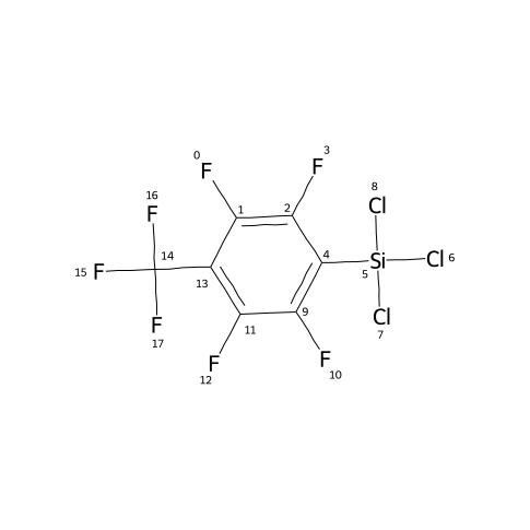 Fc1c(F)c([Si](Cl)(Cl)Cl)c(F)c(F)c1C(F)(F)F